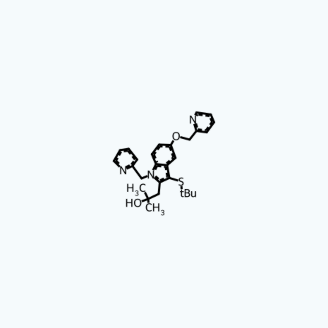 CC(C)(O)Cc1c(SC(C)(C)C)c2cc(OCc3ccccn3)ccc2n1Cc1ccccn1